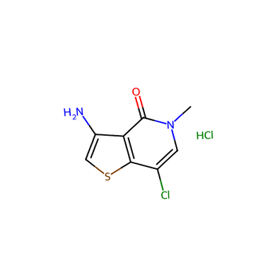 Cl.Cn1cc(Cl)c2scc(N)c2c1=O